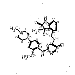 COc1cc(N2CCN(C)CC2)ccc1Nc1ncc(Cl)c(NCc2cccc3c2C(C)(C)C(=O)N3)n1